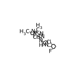 Cc1cc(C)n([C@H](C)c2nnc(Nc3ccn(Cc4c(F)cccc4Cl)n3)s2)n1